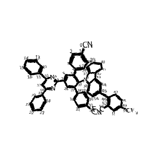 N#Cc1ccc(-c2cc(-c3nc(-c4ccccc4)cc(-c4ccccc4)n3)cc(-c3ccc(C#N)cc3)c2-n2c3ccccc3c3cc(-c4ccc(C(F)(F)F)cc4C(F)(F)F)ccc32)cc1